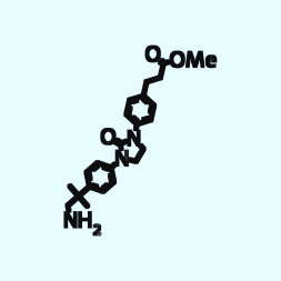 COC(=O)CCc1ccc(N2CCN(c3ccc(C(C)(C)CN)cc3)C2=O)cc1